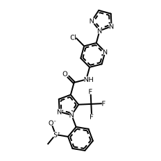 C[S+]([O-])c1ccccc1-n1ncc(C(=O)Nc2cnc(-n3nccn3)c(Cl)c2)c1C(F)(F)F